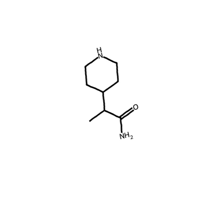 CC(C(N)=O)C1CCNCC1